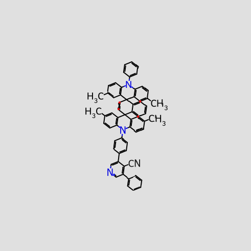 Cc1ccc2c(c1)C1(c3cc(C)ccc3N2c2ccccc2)c2ccccc2C2(c3cc(C)ccc3N(c3ccc(-c4cncc(-c5ccccc5)c4C#N)cc3)c3ccc(C)cc32)c2ccccc21